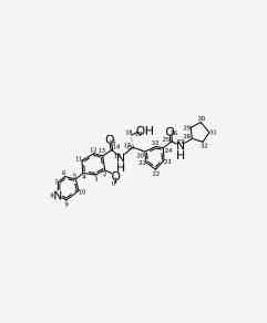 COc1cc(-c2ccncc2)ccc1C(=O)N[C@H](CO)c1cccc(C(=O)NC2CCCC2)c1